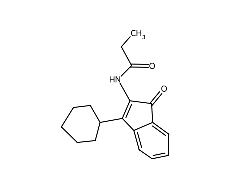 CCC(=O)NC1=C(C2CCCCC2)c2ccccc2C1=O